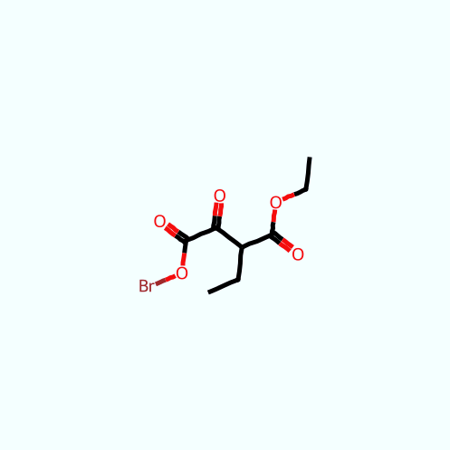 CCOC(=O)C(CC)C(=O)C(=O)OBr